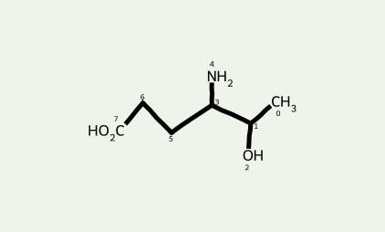 CC(O)C(N)CCC(=O)O